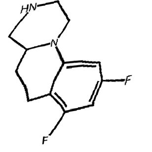 Fc1cc(F)c2c(c1)N1CCNCC1CC2